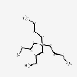 CCCC[Si](CCCC)(CCCC)CCC[O]